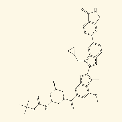 COc1cc(C(=O)N2C[C@H](F)C[C@@H](NC(=O)OC(C)(C)C)C2)cc2sc(-c3cc4ccc(-c5ccc6c(c5)CNC6=O)cc4n3CC3CC3)c(C)c12